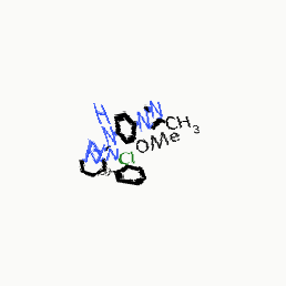 COc1cc(Nc2nc3n(n2)CCC[C@H]3c2ccccc2Cl)ccc1-n1cnc(C)c1